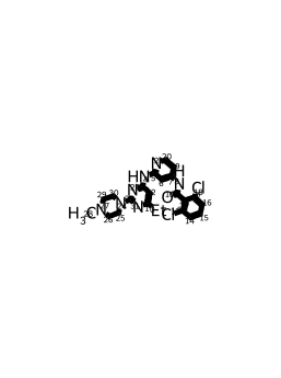 CCc1cc(Nc2cc(NC(=O)c3c(Cl)cccc3Cl)ccn2)nc(N2CCN(C)CC2)n1